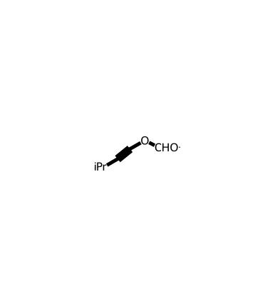 CC(C)C#CO[C]=O